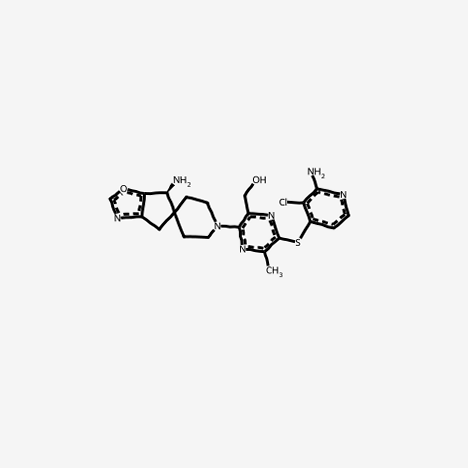 Cc1nc(N2CCC3(CC2)Cc2ncoc2[C@H]3N)c(CO)nc1Sc1ccnc(N)c1Cl